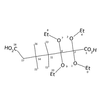 CCOC(OCC)(C(=O)O)C(OCC)(OCC)C(C)(C)C(C)(C)CC(=O)O